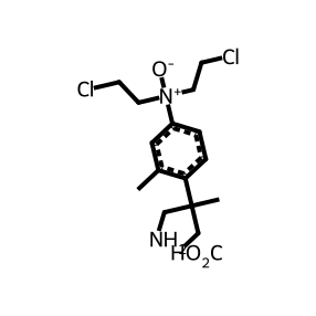 Cc1cc([N+]([O-])(CCCl)CCCl)ccc1C(C)(CN)CC(=O)O